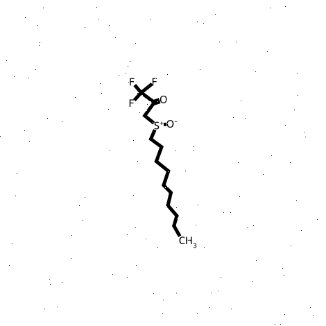 CCCCCCCCCC[S+]([O-])CC(=O)C(F)(F)F